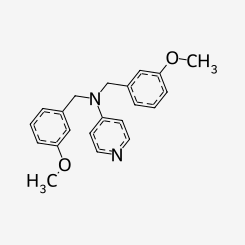 COc1cccc(CN(Cc2cccc(OC)c2)c2ccncc2)c1